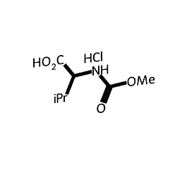 COC(=O)NC(C(=O)O)C(C)C.Cl